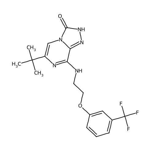 CC(C)(C)c1cn2c(=O)[nH]nc2c(NCCOc2cccc(C(F)(F)F)c2)n1